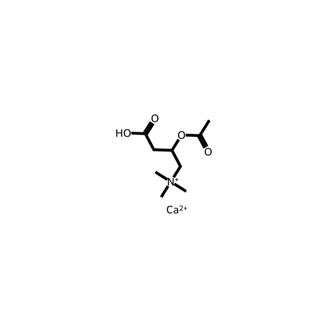 CC(=O)OC(CC(=O)O)C[N+](C)(C)C.[Ca+2]